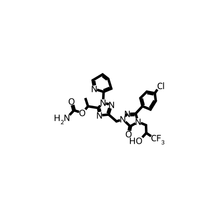 CC(OC(N)=O)c1nc(Cn2nc(-c3ccc(Cl)cc3)n(CC(O)C(F)(F)F)c2=O)nn1-c1ccccn1